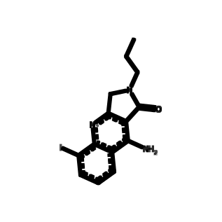 CCCN1Cc2nc3c(I)cccc3c(N)c2C1=O